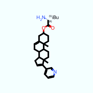 CC[C@H](C)[C@@H](N)C(=O)OC1CCC2(C)C(=CCC3C2CCC2(C)C(c4cccnc4)=CCC32)C1